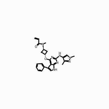 C=CC(=O)N(C)[C@H]1C[C@H](Oc2nc(Nc3cn(C)nc3C)nc3[nH]cc(-c4ccccc4)c23)C1